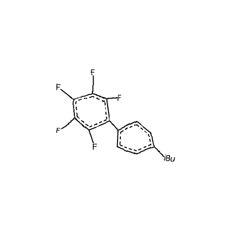 CCC(C)c1ccc(-c2c(F)c(F)c(F)c(F)c2F)cc1